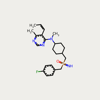 C/C=C\c1c(C)ncnc1N(C)C1CCC(CS(=N)(=O)Cc2ccc(F)cc2)CC1